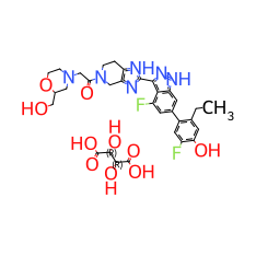 CCc1cc(O)c(F)cc1-c1cc(F)c2c(-c3nc4c([nH]3)CCN(C(=O)CN3CCOC(CO)C3)C4)n[nH]c2c1.O=C(O)[C@H](O)[C@@H](O)C(=O)O